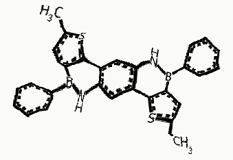 Cc1cc2c(s1)-c1cc3c(cc1NB2c1ccccc1)-c1sc(C)cc1B(c1ccccc1)N3